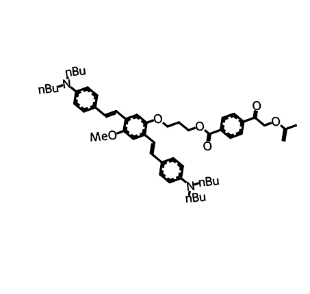 C=C(C)OCC(=O)c1ccc(C(=O)OCCCOc2cc(/C=C/c3ccc(N(CCCC)CCCC)cc3)c(OC)cc2/C=C/c2ccc(N(CCCC)CCCC)cc2)cc1